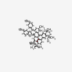 Cc1cc2c3c(c1)N(c1ccc(C(C)(C)C)cc1)c1c(oc4ccc(C(C)(C)C)cc14)B3c1cc(C(C)(C)C)ccc1N2c1cc2c(cc1-c1ccc([Si](C)(C)C)cc1)C(C)(C)CCC2(C)C